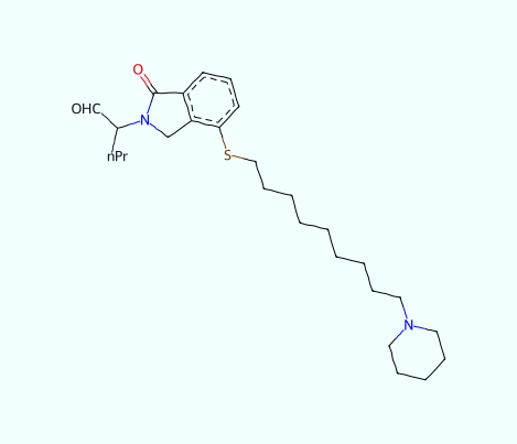 CCCC(C=O)N1Cc2c(SCCCCCCCCCN3CCCCC3)cccc2C1=O